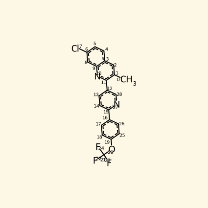 Cc1cc2ccc(Cl)cc2nc1-c1ccc(-c2ccc(OC(F)(F)F)cc2)nc1